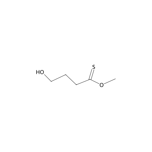 COC(=S)CCCO